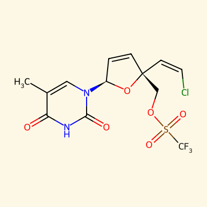 Cc1cn([C@H]2C=C[C@@](/C=C\Cl)(COS(=O)(=O)C(F)(F)F)O2)c(=O)[nH]c1=O